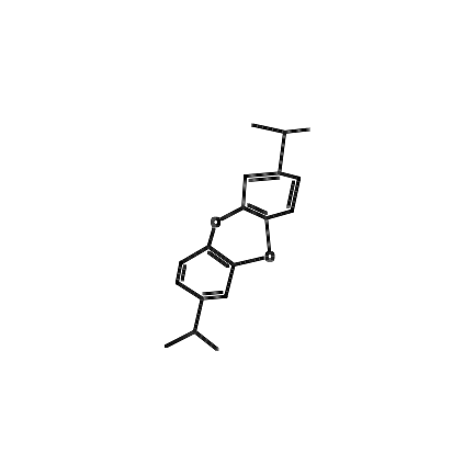 CC(C)c1ccc2c(c1)Oc1ccc(C(C)C)cc1O2